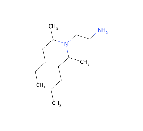 CCCCC(C)N(CCN)C(C)CCCC